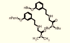 CCCCCOc1cccc(CCNCC(=O)N(C)C)c1.CCCCOc1cccc(CCNCC(=O)N(CCCC)CCCC)c1